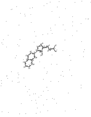 CC(C)=NN=c1scc(-c2ccc3ccccc3c2)n1C